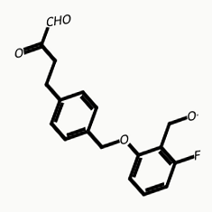 [O]Cc1c(F)cccc1OCc1ccc(CCC(=O)C=O)cc1